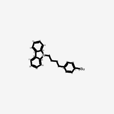 CCC(C)c1ccc(CCCCn2c3ccccc3c3ccccc32)cc1